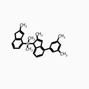 CC1=Cc2c(cccc2[Si](C)(C)C2C(C)=Cc3c(-c4cc(C)cc(C)c4)cccc32)C1